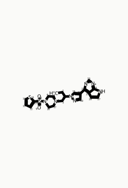 CCC(CN1CCN(S(=O)(=O)c2cccs2)CC1)n1cc(-c2ncnc3[nH]ccc23)cn1